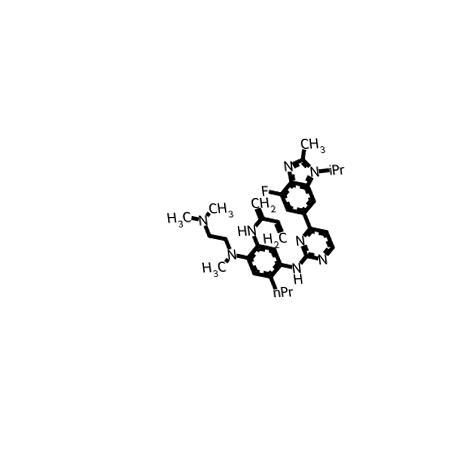 C=CC(=C)Nc1cc(Nc2nccc(-c3cc(F)c4nc(C)n(C(C)C)c4c3)n2)c(CCC)cc1N(C)CCN(C)C